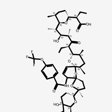 CC[C@@H](C(=O)[C@@H](C)[C@@H](O)[C@H](C)[C@@H]1O[C@@H]([C@@H](CC)C(=O)O)CC[C@@H]1C)[C@H]1O[C@]2(C=CC(NC(=O)c3ccc(OC(F)(F)F)cc3)[C@]3(CC[C@@](C)([C@H]4CC[C@](O)(CC)[C@H](C)O4)O3)O2)[C@H](C)C[C@@H]1C